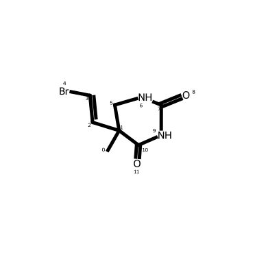 CC1(C=CBr)CNC(=O)NC1=O